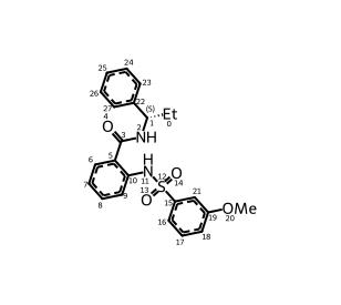 CC[C@H](NC(=O)c1ccccc1NS(=O)(=O)c1cccc(OC)c1)c1ccccc1